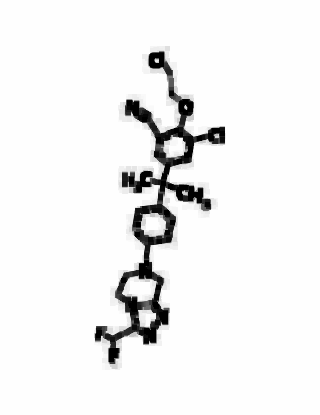 CC(C)(c1ccc(N2CCn3c(nnc3C(F)F)C2)cc1)c1cc(Cl)c(OCCCl)c(C#N)c1